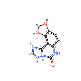 O=c1[nH]c2ccc3c(c2c2ncnn12)OCO3